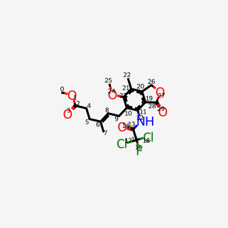 COC(=O)CC/C(C)=C/Cc1c(NC(=O)C(F)(Cl)Cl)c2c(c(C)c1OC)COC2=O